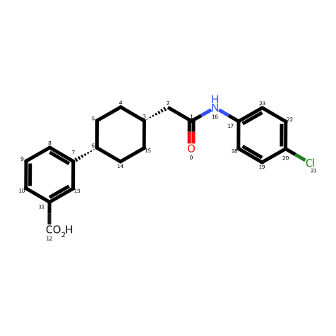 O=C(C[C@H]1CC[C@@H](c2cccc(C(=O)O)c2)CC1)Nc1ccc(Cl)cc1